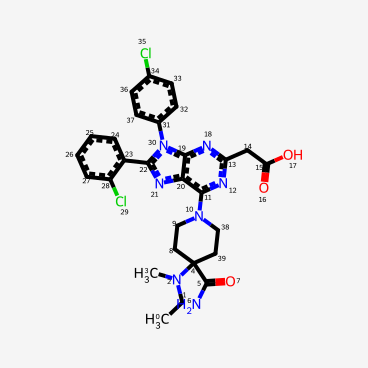 CCN(C)C1(C(N)=O)CCN(c2nc(CC(=O)O)nc3c2nc(-c2ccccc2Cl)n3-c2ccc(Cl)cc2)CC1